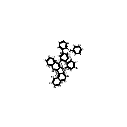 c1ccc(-n2c3ccccc3c3cc(-c4c5ccccc5cc5c6c7ccccc7ccc6n(-c6ccccc6)c45)ccc32)cc1